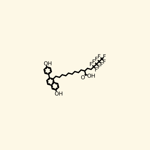 O=C(O)C(CCCCCCCCCc1c(-c2ccc(O)cc2)ccc2cc(O)ccc12)CCC(F)(F)C(F)(F)C(F)(F)C(F)(F)F